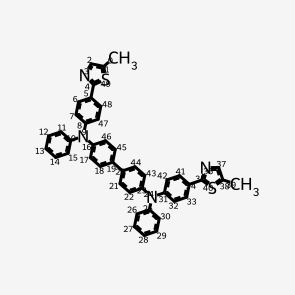 Cc1cnc(-c2ccc(N(c3ccccc3)c3ccc(-c4ccc(N(c5ccccc5)c5ccc(-c6ncc(C)s6)cc5)cc4)cc3)cc2)s1